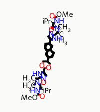 COC(=O)N[C@@H](C(=O)N(C)[C@@H](C)c1ncc(-c2ccc3cc(C4COC(c5cnc([C@H](C)N(C)C(=O)[C@H](NC(=O)OC)C(C)C)[nH]5)OC4)ccc3c2)[nH]1)C(C)C